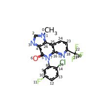 Cn1cnc2c(=O)n(-c3cc(F)ccc3Cl)c3nc(C(F)(F)F)ccc3c21